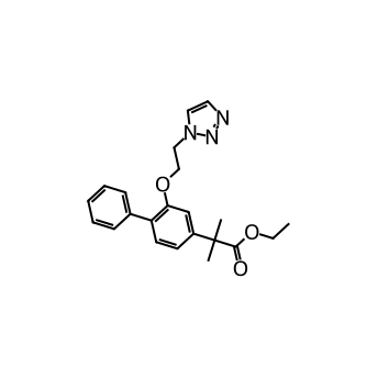 CCOC(=O)C(C)(C)c1ccc(-c2ccccc2)c(OCCn2ccnn2)c1